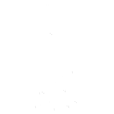 Cc1c(-c2cc(F)cc3c2ccn3CCO)ccc2c1-n1c(C)nnc1C(C)(C)N2